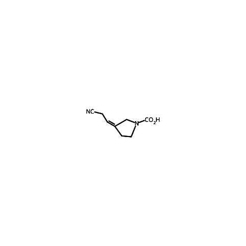 N#CC/C=C1/CCN(C(=O)O)C1